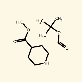 CC(C)(C)OC=O.COC(=O)C1CCNCC1